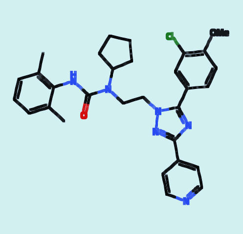 COc1ccc(-c2nc(-c3ccncc3)nn2CCN(C(=O)Nc2c(C)cccc2C)C2CCCC2)cc1Cl